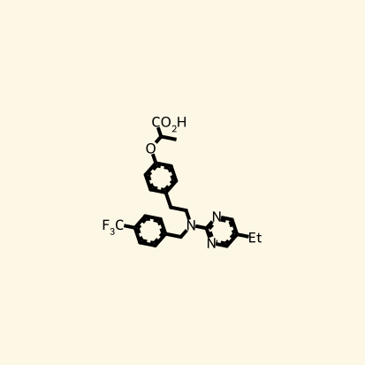 CCc1cnc(N(CCc2ccc(OC(C)C(=O)O)cc2)Cc2ccc(C(F)(F)F)cc2)nc1